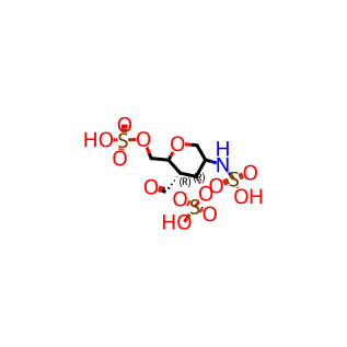 O=C[C@@H]1C(COS(=O)(=O)O)OCC(NS(=O)(=O)O)[C@@H]1OS(=O)(=O)O